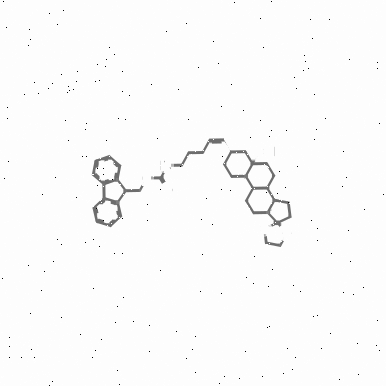 C[C@]12CCC3C(CC[C@@]4(O)C[C@H](/C=C\CCCNC(=O)OCC5c6ccccc6-c6ccccc65)CC[C@]34C)C1CCC21OCCO1